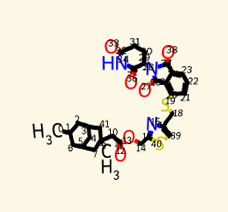 CC1CC2CC(C1)CC(C)(CC(=O)OCc1nc(CSc3cccc4c3C(=O)N(C3CCC(=O)NC3=O)C4=O)cs1)C2